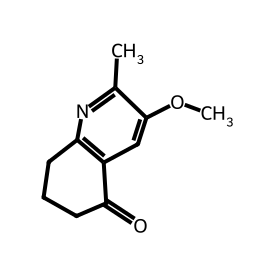 COc1cc2c(nc1C)CCCC2=O